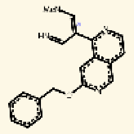 CN/C=C(\C=N)c1nccc2cnc(OCc3ccccc3)cc12